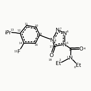 CCN(CC)C(=O)n1nnn(-c2ccc(C(C)C)c(F)c2)c1=O